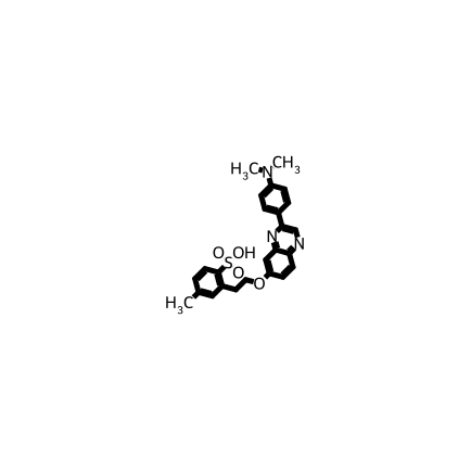 Cc1ccc(S(=O)(=O)O)c(CCOc2ccc3ncc(-c4ccc(N(C)C)cc4)nc3c2)c1